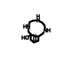 OC12CCCC(CNCCNCCNC1)N2